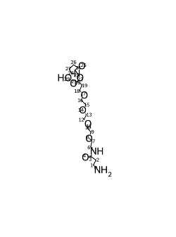 NCCC(=O)NCCOCCOCCOCCOCCC(=O)ON1C(=O)CCC1O